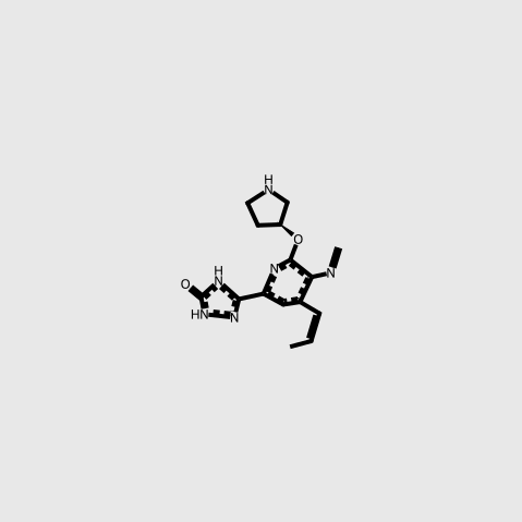 C=Nc1c(/C=C\C)cc(-c2n[nH]c(=O)[nH]2)nc1O[C@H]1CCNC1